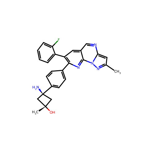 Cc1cc2ncc3cc(-c4ccccc4F)c(-c4ccc([C@]5(N)C[C@](C)(O)C5)cc4)nc3n2n1